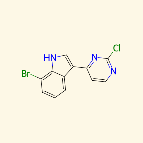 Clc1nccc(-c2c[nH]c3c(Br)cccc23)n1